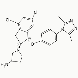 Cc1nnc(C)n1-c1ccc(O[C@H]2c3cc(Cl)cc(Cl)c3C[C@@H]2N2CCC(N)C2)cc1